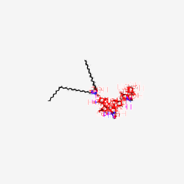 CCCCCCCC/C=C\CCCCCCCCCCCCCC(=O)N[C@@H](CO[C@@H]1OC(CO)[C@@H](O[C@@H]2OC(CO)[C@H](O)[C@H](O[C@@H]3OC(CO)[C@@H](O[C@@H]4OC(CO)[C@H](O)[C@H](O[C@@H]5OC(CO)[C@@H](O[C@@H]6OC(CO)[C@H](O)[C@H](O)C6O)[C@H](O)C5NC(C)=O)C4O)[C@H](O)C3NC(C)=O)C2O)[C@H](O)C1O)[C@H](O)/C=C/CCCCCCCCCCCCC